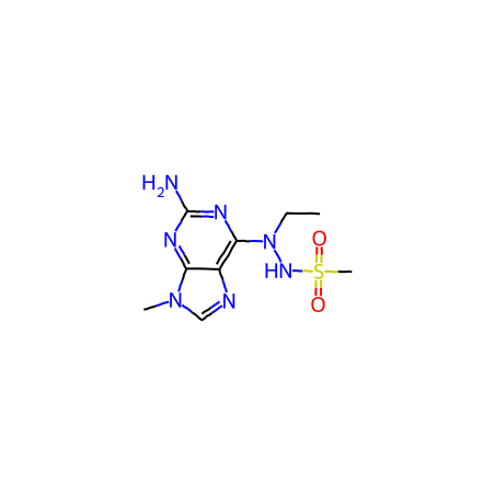 CCN(NS(C)(=O)=O)c1nc(N)nc2c1ncn2C